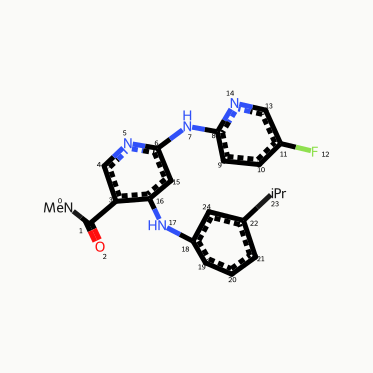 CNC(=O)c1cnc(Nc2ccc(F)cn2)cc1Nc1cccc(C(C)C)c1